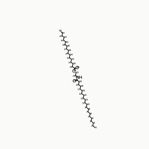 CCCCCCCCCCCCCCCCCCCCCC(=O)NCCOC(=O)CCCCCCCCCCCCCCCCC